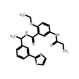 CCOc1ccc(NC(=O)CC)cc1C(=O)NC(C)c1cccc(-c2nccs2)c1